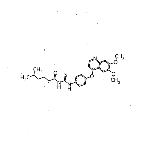 COc1cc2nccc(Oc3ccc(NC(=S)NC(=O)CCCC(C)C)cc3)c2cc1OC